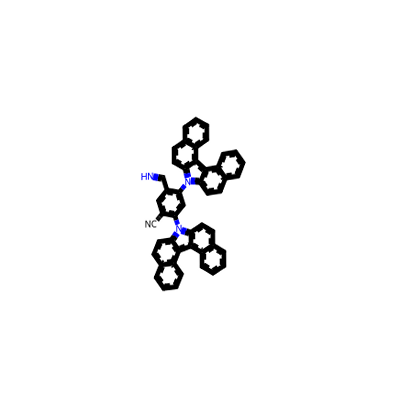 N#Cc1cc(C=N)c(-n2c3ccc4ccccc4c3c3c4ccccc4ccc32)cc1-n1c2ccc3ccccc3c2c2c3ccccc3ccc21